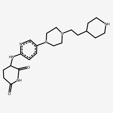 O=C1CCC(Nc2ccc(N3CCN(CCC4CCNCC4)CC3)cn2)C(=O)N1